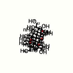 CCCCCCC(C(=O)C(O)CO)(C(=O)C(O)CO)C(C(=O)C(O)CO)(C(=O)C(O)CO)C(C(=O)C(O)CO)(C(=O)C(O)CO)C(C(=O)C(O)CO)(C(=O)C(O)CO)C(C(=O)O)(C(=O)C(O)CO)C(=O)C(O)CO